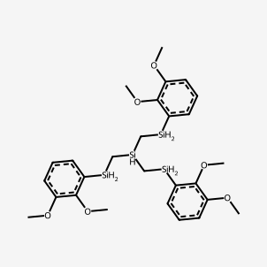 COc1cccc([SiH2]C[SiH](C[SiH2]c2cccc(OC)c2OC)C[SiH2]c2cccc(OC)c2OC)c1OC